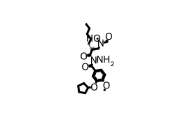 CCCCC[C@H](CN(O)C=O)C(=O)N(N)C(=O)c1ccc(OC)c(OC2CCCC2)c1